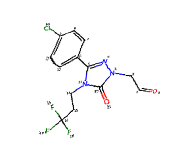 O=CCn1nc(-c2ccc(Cl)cc2)n(CCC(F)(F)F)c1=O